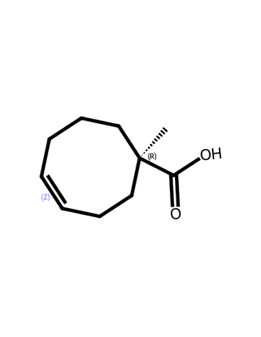 C[C@]1(C(=O)O)CC/C=C\CCC1